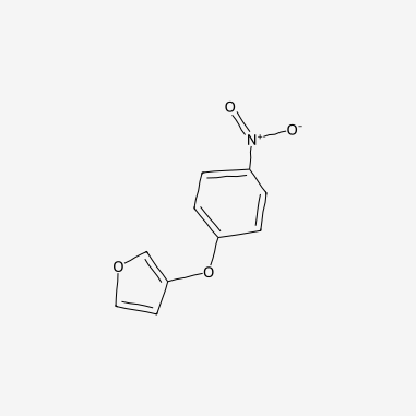 O=[N+]([O-])c1ccc(Oc2ccoc2)cc1